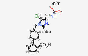 CCCCc1nc(CNC(=O)OCCC)c(Cl)n1Cc1ccc(-c2ccccc2C(=O)O)cc1